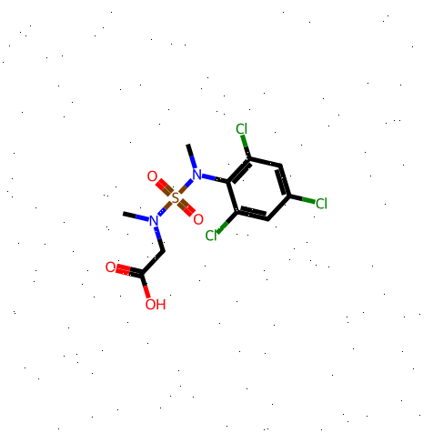 CN(CC(=O)O)S(=O)(=O)N(C)c1c(Cl)cc(Cl)cc1Cl